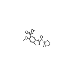 COc1cc2c(cc1[N+](=O)[O-])N(C(=O)[C@@H]1CCCN1C)CC2